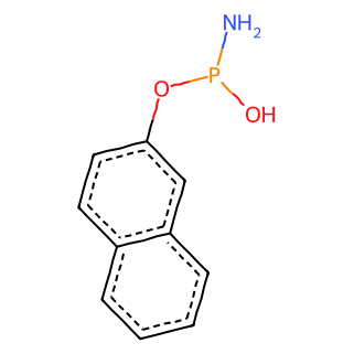 NP(O)Oc1ccc2ccccc2c1